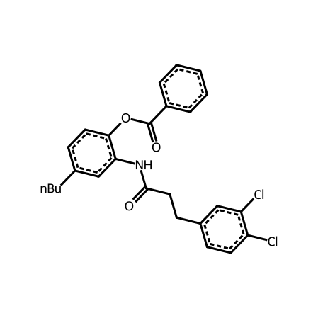 CCCCc1ccc(OC(=O)c2ccccc2)c(NC(=O)CCc2ccc(Cl)c(Cl)c2)c1